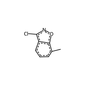 Cc1cccc2c(Cl)noc12